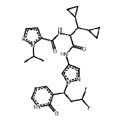 CC(C)n1nccc1C(=O)NC(C(=O)Nc1cnn(C(CC(F)F)c2ccc[nH]c2=O)c1)C(C1CC1)C1CC1